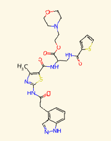 Cc1nc(NC(=O)Cc2cccc3[nH]ncc23)sc1C(=O)NC(CNC(=O)c1cccs1)C(=O)OCCN1CCOCC1